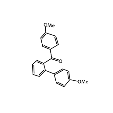 COc1ccc(C(=O)c2ccccc2-c2ccc(OC)cc2)cc1